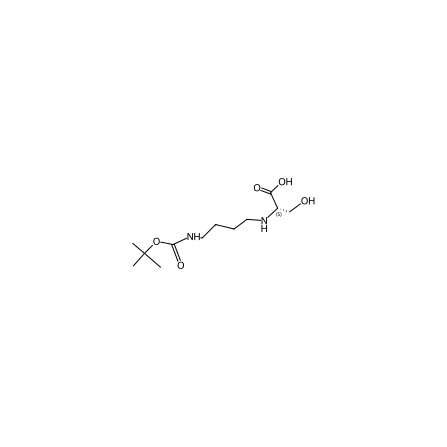 CC(C)(C)OC(=O)NCCCCN[C@@H](CO)C(=O)O